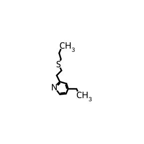 CCCSCCc1cc(CC)ccn1